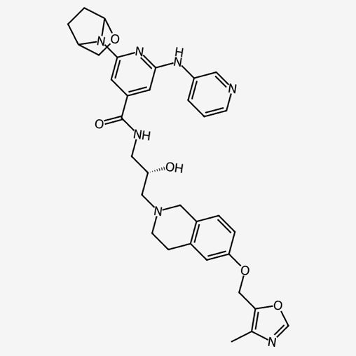 Cc1ncoc1COc1ccc2c(c1)CCN(C[C@@H](O)CNC(=O)c1cc(Nc3cccnc3)nc(N3C4CCC3OC4)c1)C2